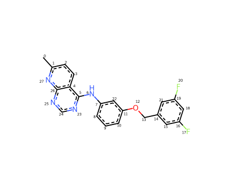 Cc1ccc2c(Nc3cccc(OCc4cc(F)cc(F)c4)c3)ncnc2n1